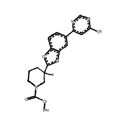 CC(C)(C)OC(=O)N1CCCC(F)(c2nc3cc(-c4cc(C#N)ncn4)ccc3o2)C1